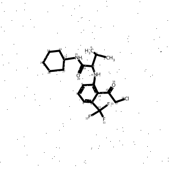 CC(C)C(Nc1cccc(C(F)(F)F)c1C(=O)CCl)C(=O)NC1CCCCC1